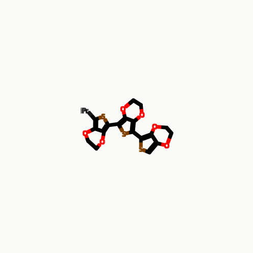 CC(C)c1sc(-c2sc(-c3scc4c3OCCO4)c3c2OCCO3)c2c1OCCO2